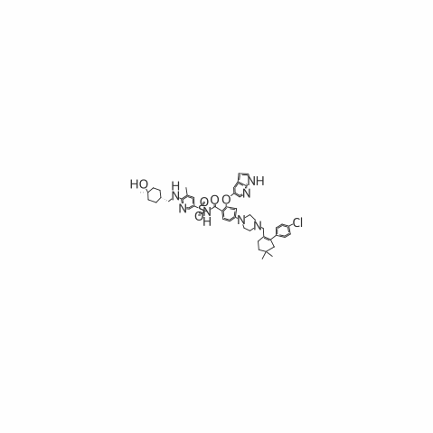 Cc1cc(S(=O)(=O)NC(=O)c2ccc(N3CCN(CC4=C(c5ccc(Cl)cc5)CC(C)(C)CC4)CC3)cc2Oc2cnc3[nH]ccc3c2)cnc1NC[C@H]1CC[C@](C)(O)CC1